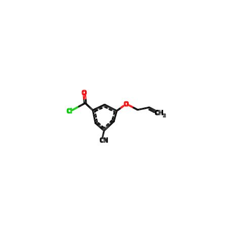 C=CCOc1cc(C#N)cc(C(=O)Cl)c1